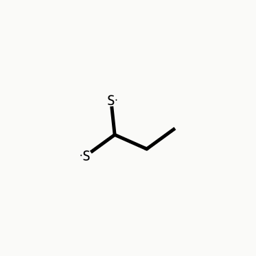 CCC([S])[S]